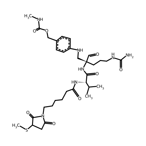 CNC(=O)OCc1ccc(NC[C@@](C=O)(CCCNC(N)=O)NC(=O)[C@@H](NC(=O)CCCCCN2C(=O)CC(SC)C2=O)C(C)C)cc1